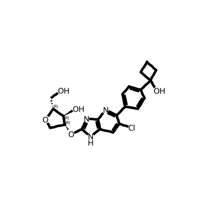 OC[C@H]1OC[C@@H](Oc2nc3nc(-c4ccc(C5(O)CCC5)cc4)c(Cl)cc3[nH]2)[C@@H]1O